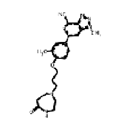 Cc1cc(-c2cc3c(nnn3C)c(C#N)n2)ccc1OCCCN1CCNC(=O)CC1